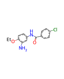 CCOc1ccc(NC(=O)c2ccc(Cl)cc2)cc1N